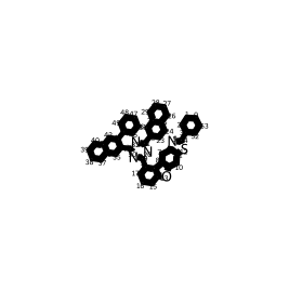 c1ccc(-c2nc3cc4c(cc3s2)oc2cccc(-c3nc(-c5ccc6ccccc6c5)nc(-c5cc6ccccc6cc5-c5ccccc5)n3)c24)cc1